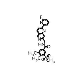 Cc1cc(C(=O)NCc2cc3nc(-c4cccc(F)n4)ccc3cn2)cc(S(C)(=O)=O)c1C